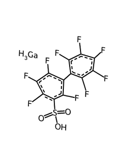 O=S(=O)(O)c1c(F)c(F)c(F)c(-c2c(F)c(F)c(F)c(F)c2F)c1F.[GaH3]